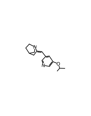 CC(C)Oc1cncc(/C=C2\CC3CCN2C3)c1